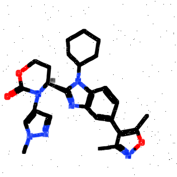 Cc1noc(C)c1-c1ccc2c(c1)nc([C@@H]1CCOC(=O)N1c1cnn(C)c1)n2C1CCCCC1